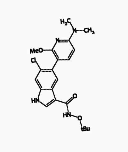 COc1nc(N(C)C)ccc1-c1cc2c(C(=O)NOC(C)(C)C)c[nH]c2cc1Cl